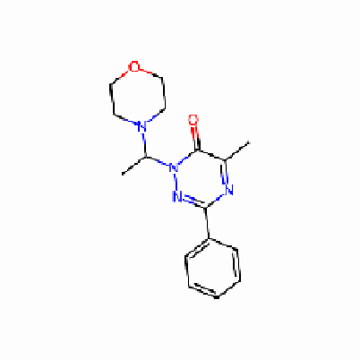 Cc1nc(-c2ccccc2)nn(C(C)N2CCOCC2)c1=O